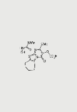 CNC(=O)NO.CSc1nc2sc3c(n2c(=O)c1OC(=O)O)CCCCC3